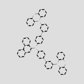 c1cc(-c2ccc(N(c3ccc(-c4cccc(N5c6ccccc6Oc6ccccc65)c4)cc3)c3cc4ccccc4c4ccccc34)cc2)cc(N2c3ccccc3Oc3ccccc32)c1